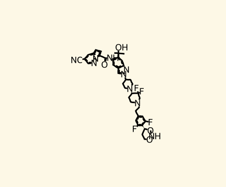 CC(C)(O)c1cc2nn(C3CCN([C@H]4CCN(CCc5cc(F)c([C@H]6CCONO6)c(F)c5)CC4(F)F)CC3)cc2cc1NC(=O)c1ccc2cc(C#N)cnn12